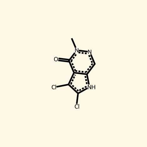 Cn1ncc2[nH]c(Cl)c(Cl)c2c1=O